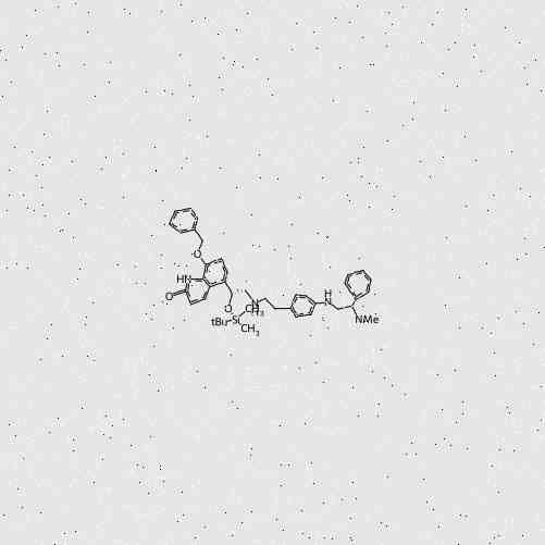 CNC(CNc1ccc(CCNC[C@H](O[Si](C)(C)C(C)(C)C)c2ccc(OCc3ccccc3)c3[nH]c(=O)ccc23)cc1)c1ccccc1